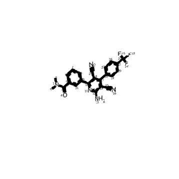 CN(C)C(=O)c1cccc(-c2nc(N)c(C#N)c(-c3ccc(C(F)(F)F)cc3)c2C#N)c1